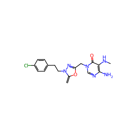 C=C1OC(Cn2cnc(N)c(NC)c2=O)=NN1CCc1ccc(Cl)cc1